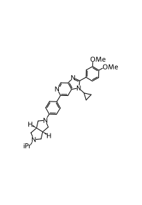 COc1ccc(-c2nc3cnc(-c4ccc(N5C[C@@H]6CN(C(C)C)C[C@@H]6C5)cc4)cc3n2C2CC2)cc1OC